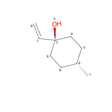 C=C[C@]1(O)CC[C@H](C)CC1